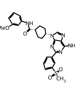 COc1cccc(NC(=O)[C@H]2CC[C@@H](n3cnc4c(N)nc(-c5cccc(S(C)(=O)=O)c5)nc43)CC2)c1